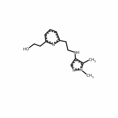 Cc1c(NCCc2cccc(CCO)n2)cnn1C